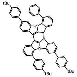 CC(C)(C)c1ccc(-c2ccc3c4c5c6cccc(-c7ccc(C(C)(C)C)cc7)c6n6c7cc(-c8ccc(C(C)(C)C)cc8)ccc7c(c7c8cccc(-c9ccccc9)c8n(c3c2)c47)c56)cc1